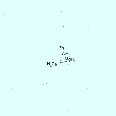 [AlH3].[CaH2].[GaH3].[MgH2].[Zn]